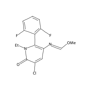 CCn1c(-c2c(F)cccc2F)c(/N=C/OC)cc(Cl)c1=O